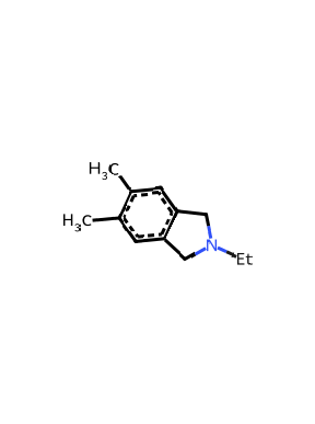 CCN1Cc2cc(C)c(C)cc2C1